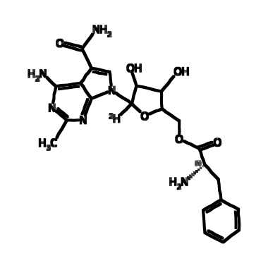 [2H]C1(n2cc(C(N)=O)c3c(N)nc(C)nc32)OC(COC(=O)[C@@H](N)Cc2ccccc2)C(O)C1O